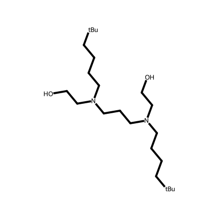 CC(C)(C)CCCCN(CCO)CCCN(CCO)CCCCC(C)(C)C